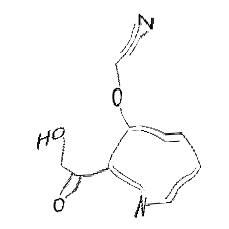 N#COc1cccnc1C(=O)O